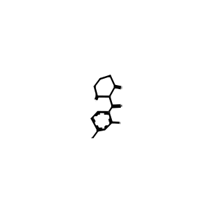 O=C1CCCC(=O)C1C(=O)c1ccc(I)cc1Cl